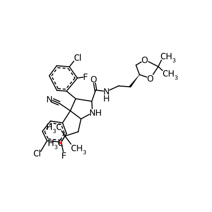 CC(C)(C)CC1NC(C(=O)NCC[C@H]2COC(C)(C)O2)C(c2cccc(Cl)c2F)C1(C#N)c1ccc(Cl)c(F)c1